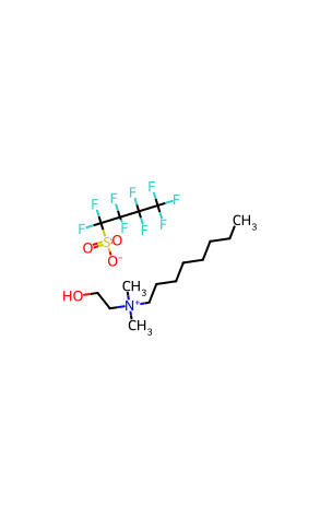 CCCCCCCC[N+](C)(C)CCO.O=S(=O)([O-])C(F)(F)C(F)(F)C(F)(F)C(F)(F)F